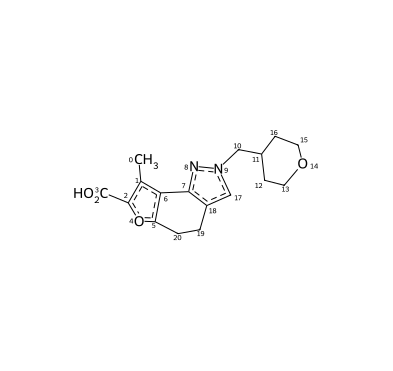 Cc1c(C(=O)O)oc2c1-c1nn(CC3CCOCC3)cc1CC2